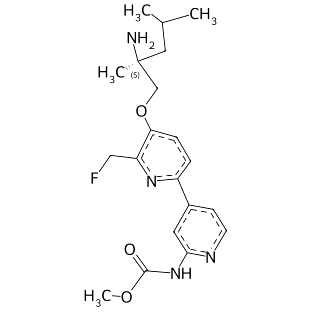 COC(=O)Nc1cc(-c2ccc(OC[C@@](C)(N)CC(C)C)c(CF)n2)ccn1